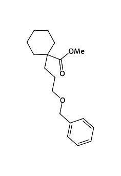 COC(=O)C1(CCCOCc2ccccc2)CCCCC1